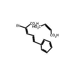 CCC(=CC=Cc1ccccc1)C(=O)O.O=C(O)/C=C\C(=O)O